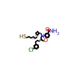 NC(=O)c1ccc2c(c1)N(C[C@@H]1CC[C@H]1C/C=C/CCCS)C[C@@H](CCCc1cccc(Cl)c1)CO2